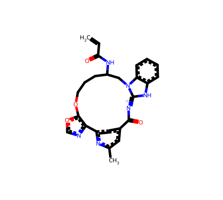 C=CC(=O)NC1CCCOc2ocnc2-c2cc(cc(C)n2)C(=O)/N=C2\Nc3ccccc3N2C1